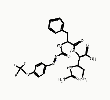 CCC(NC(=N)N)C(NC(=O)C(Cc1ccccc1)NC(=O)/N=N/c1ccc(OC(F)(F)F)cc1)C(=O)O